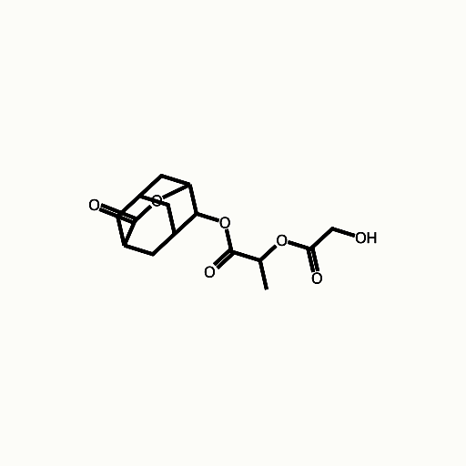 CC(OC(=O)CO)C(=O)OC1C2CC3CC(C2)C(=O)OC1C3